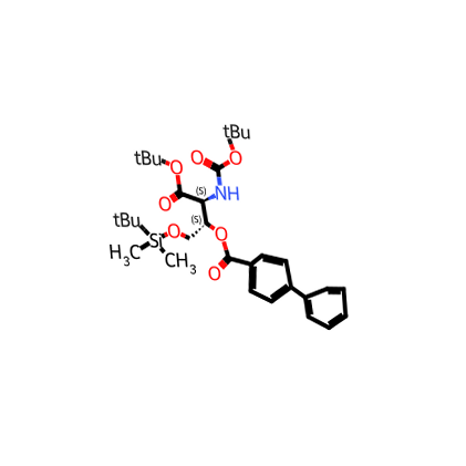 CC(C)(C)OC(=O)N[C@H](C(=O)OC(C)(C)C)[C@@H](CO[Si](C)(C)C(C)(C)C)OC(=O)c1ccc(-c2ccccc2)cc1